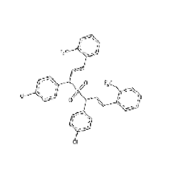 O=S(=O)(C(C=Cc1ccccc1C(F)(F)F)c1ccc(Cl)cc1)C(C=Cc1ccccc1C(F)(F)F)c1ccc(Cl)cc1